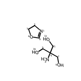 C1=NCCO1.NC(CO)(CO)CO